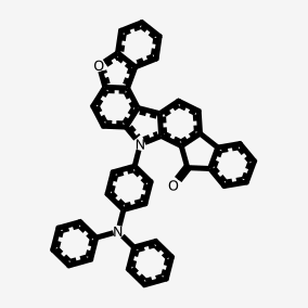 O=C1c2ccccc2-c2ccc3c4c5c(ccc4n(-c4ccc(N(c6ccccc6)c6ccccc6)cc4)c3c21)oc1ccccc15